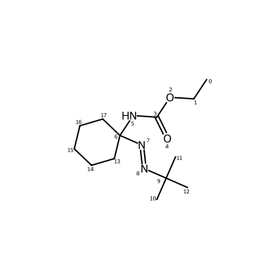 CCOC(=O)NC1(/N=N/C(C)(C)C)CCCCC1